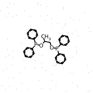 CC(COP(c1ccccc1)c1ccccc1)OP(c1ccccc1)c1ccccc1